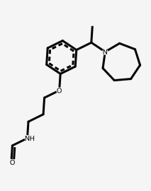 CC(c1cccc(OCCCNC=O)c1)N1CCCCCC1